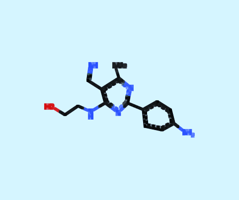 CNc1nc(-c2ccc(N)cc2)nc(NCCO)c1C=N